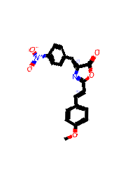 COc1ccc(/C=C/C2=NC(=C\c3ccc([N+](=O)[O-])cc3)/C(=O)O2)cc1